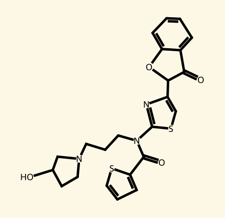 O=C1c2ccccc2OC1c1csc(N(CCCN2CCC(O)C2)C(=O)c2cccs2)n1